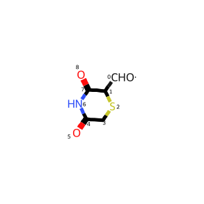 O=[C]C1SCC(=O)NC1=O